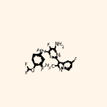 Cc1nn2ccc(F)cc2c1-c1nc(N)c(F)c(Nc2ccc(OC(F)F)c(F)c2)n1